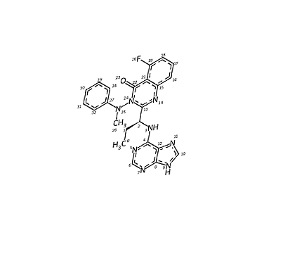 CC[C@H](Nc1ncnc2[nH]cnc12)c1nc2cccc(F)c2c(=O)n1N(C)c1ccccc1